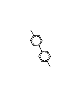 Cc1c[c]c(-c2[c]cc(C)cc2)cc1